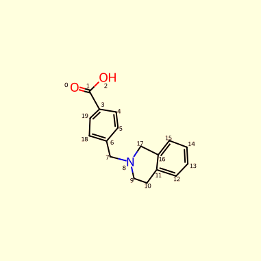 O=C(O)c1ccc(CN2CCc3ccccc3C2)cc1